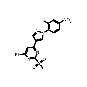 CCc1cc(-c2cnn(-c3ccc([N+](=O)[O-])cc3F)c2)nc(S(C)(=O)=O)n1